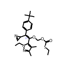 CCSC(=O)OCO/C(=C(\c1ccc(C(C)(C)C)cc1)C1C=N1)c1c(C)c(C)nn1CC